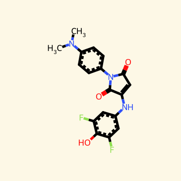 CN(C)c1ccc(N2C(=O)C=C(Nc3cc(F)c(O)c(F)c3)C2=O)cc1